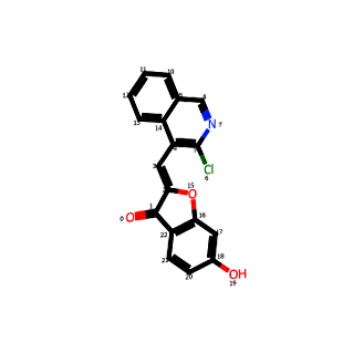 O=C1/C(=C/c2c(Cl)ncc3ccccc23)Oc2cc(O)ccc21